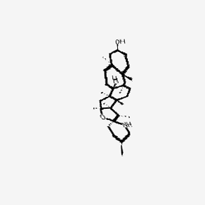 C[C@H]1CC[C@]2(NC1)O[C@@]1(C)C[C@@]3(C)[C@@H]4CC[C@@]5(C)C[C@@H](O)CC[C@]5(C)[C@@]4(C)CC[C@]3(C)[C@@]1(C)[C@@H]2C